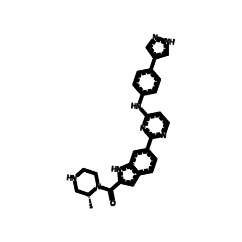 C[C@@H]1CNCCN1C(=O)c1cc2ccc(-c3nccc(Nc4ccc(-c5cn[nH]c5)cc4)n3)cc2[nH]1